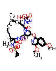 CCOc1cnc(O[C@@H]2C[C@H]3C(=O)N[C@]4(C(=O)N(C)S(=O)(=O)C5CC5)C[C@H]4/C=C\CC[C@@H](C)C[C@@H](C)[C@H](NC(=O)O)C(=O)N3C2)c2ccc(OC)cc12